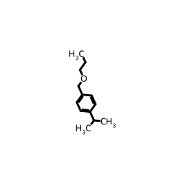 CCCOCc1ccc(C(C)C)cc1